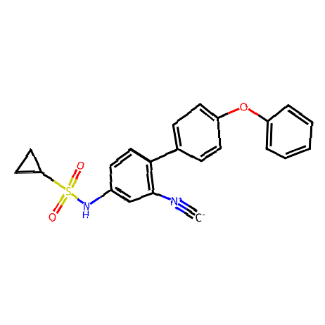 [C-]#[N+]c1cc(NS(=O)(=O)C2CC2)ccc1-c1ccc(Oc2ccccc2)cc1